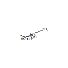 CCCC[C@](C)(O)C/C=C/[C@@H]1[C@H]2CC(CCCCCCN)=C[C@H]2C[C@H]1O